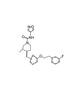 CC1CN(C(=O)Nc2cnoc2)CCC1=Cc1cccc(OCCc2cccc(F)c2)c1